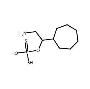 NCC(OP(O)(=S)S)C1CCCCCC1